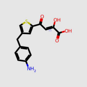 Nc1ccc(Cc2csc(C(=O)/C=C(\O)C(=O)O)c2)cc1